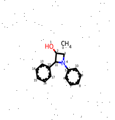 C.OC1CN(c2ccccc2)C1c1ccccc1